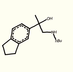 CCCCNCC(C)(O)c1ccc2c(c1)CCC2